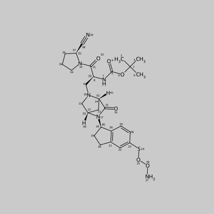 CC(C)(C)OC(=O)N[C@@H](CN1C[C@@H]2C[C@H]1C(=O)N2[C@@H]1CCc2cc(SOON)ccc21)C(=O)N1CCC[C@H]1C#N